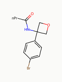 CCCC(=O)NC1(c2ccc(Br)cc2)COC1